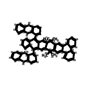 CC1(C)c2cc3c(-c4cccc5c4Sc4ccccc4S5)c4ccccc4c(-c4cccc5c4Sc4ccccc4S5)c3cc2C(C)(C)c2cc3c4ccccc4c4ccccc4c3cc21